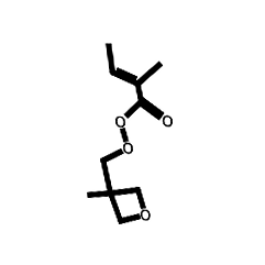 CC=C(C)C(=O)OOCC1(C)COC1